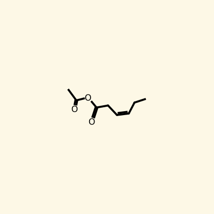 CC/C=C\CC(=O)OC(C)=O